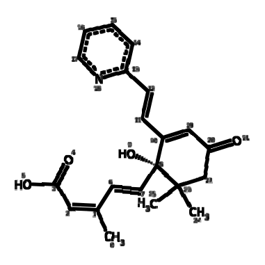 CC(=C/C(=O)O)/C=C/[C@@]1(O)C(/C=C/c2ccccn2)=CC(=O)CC1(C)C